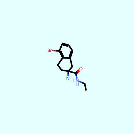 CCNC(=O)C1(N)CCc2c(Br)cccc2C1